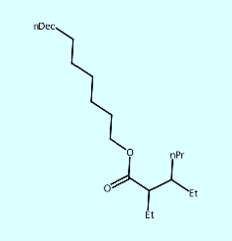 CCCCCCCCCCCCCCCCOC(=O)C(CC)C(CC)CCC